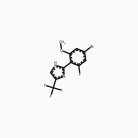 COc1cc(Br)cc(F)c1-c1nc(C(F)(F)F)c[nH]1